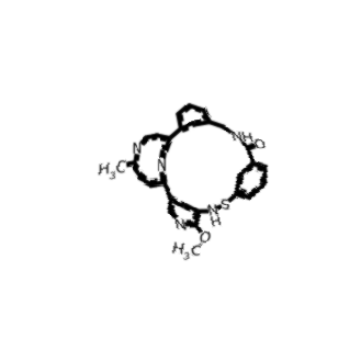 COc1ncc2cc1NSc1cccc(c1)C(=O)NCc1cccc(c1)-c1ccnc(C)ccc-2nc1